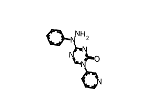 NN(c1ccccc1)c1ncn(-c2cccnc2)c(=O)n1